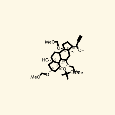 C#CC(O)[C@H]1CC[C@]2(OCOC)C3CC[C@]4(O)C[C@@H](OCOC)C[C@@H](OC(C)(C)OC)[C@]4(C)C3[C@H](OCOC)C[C@]12C